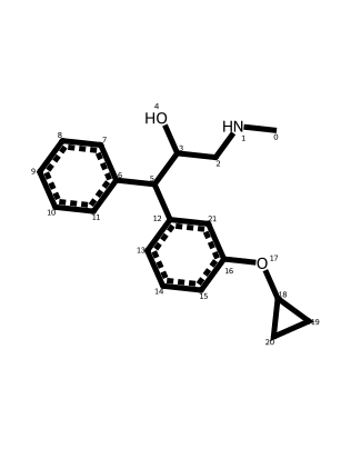 CNCC(O)C(c1ccccc1)c1cccc(OC2CC2)c1